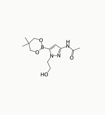 CC(=O)Nc1cc(B2OCC(C)(C)CO2)n(CCO)n1